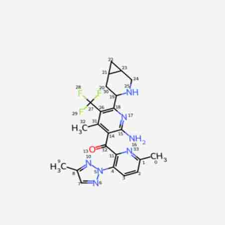 Cc1ccc(-n2ncc(C)n2)c(C(=O)c2c(N)nc(C3CC4CC4CN3)c(C(F)(F)F)c2C)n1